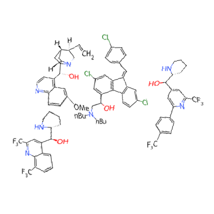 C=C[C@H]1C[N@]2CC[C@H]1C[C@H]2[C@H](O)c1ccnc2ccc(OC)cc12.CCCCN(CCCC)CC(O)c1cc(Cl)cc2c1-c1ccc(Cl)cc1/C2=C/c1ccc(Cl)cc1.O[C@@H](c1cc(C(F)(F)F)nc2c(C(F)(F)F)cccc12)[C@H]1CCCCN1.O[C@H](c1cc(-c2ccc(C(F)(F)F)cc2)nc(C(F)(F)F)c1)[C@H]1CCCCN1